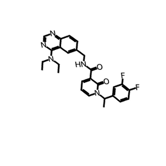 CCN(CC)c1ncnc2ccc(CNC(=O)c3cccn(C(C)c4ccc(F)c(F)c4)c3=O)cc12